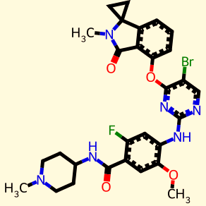 COc1cc(C(=O)NC2CCN(C)CC2)c(F)cc1Nc1ncc(Br)c(Oc2cccc3c2C(=O)N(C)C32CC2)n1